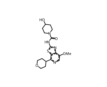 COc1cnc(C2CCOCC2)c2sc(NC(=O)N3CCC(O)CC3)nc12